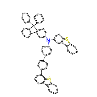 c1ccc(C2(c3ccccc3)c3ccccc3-c3cc(N(c4ccc(-c5ccc(-c6cccc7c6sc6ccccc67)cc5)cc4)c4ccc5sc6ccccc6c5c4)ccc32)cc1